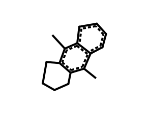 Cc1c2c(c(C)c3ccccc13)CCCC2